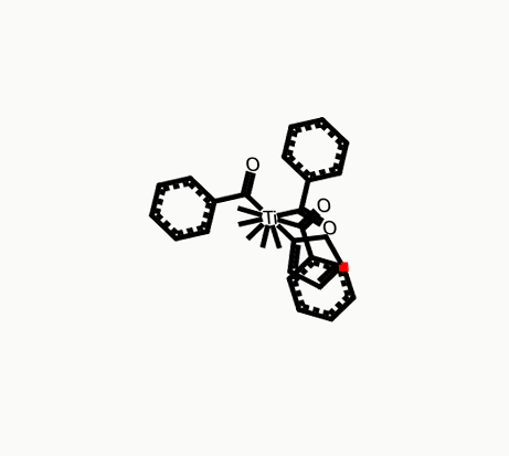 [CH3][Ti]([CH3])([CH3])([CH3])([CH3])([C](=O)c1ccccc1)([C](=O)c1ccccc1)([C](=O)c1ccccc1)[C]1=CC=CC1